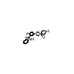 O=CC1(N2CCN(c3ccc(F)c(-c4nc5ccccc5[nH]4)c3)CC2)CCNCC1